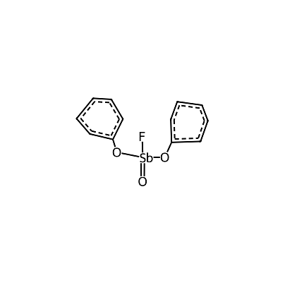 [O]=[Sb]([F])([O]c1ccccc1)[O]c1ccccc1